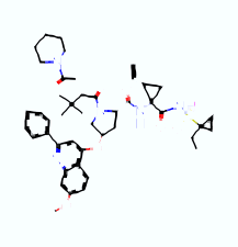 C=C[C@@H]1C[C@]1(NC(=O)[C@@H]1C[C@@H](Oc2cc(-c3ccccc3)nc3cc(OC)ccc23)CN1C(=O)[C@@H](CC(=O)N1CCCCC1)C(C)(C)C)C(=O)NS(=O)(=O)C1(CC)CC1